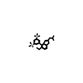 CCc1ccc2c(c1-c1cc([Si](C)(C)C)cc([Si](C)(C)C)c1)C=C(CC(C)C)[CH]2